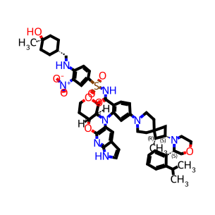 CC(C)c1ccccc1[C@H]1COCCN1[C@H]1CC2(CCN(c3ccc(C(=O)NS(=O)(=O)c4ccc(NC[C@H]5CC[C@](C)(O)CC5)c([N+](=O)[O-])c4)c(N4c5cc6cc[nH]c6nc5O[C@@H]5CCOC[C@H]54)c3)CC2)[C@H]1C